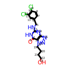 O=c1[nH]c(NCc2ccc(Cl)c(Cl)c2)nc2nnn(CCCCO)c12